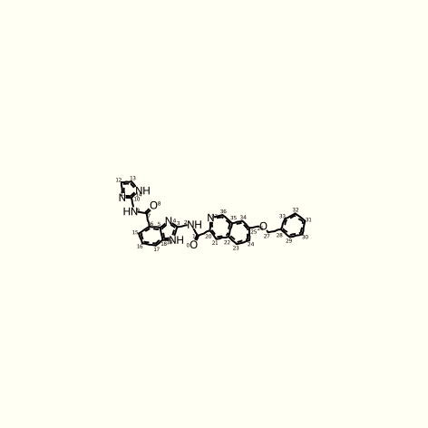 O=C(Nc1nc2c(C(=O)Nc3ncc[nH]3)cccc2[nH]1)c1cc2ccc(OCc3ccccc3)cc2cn1